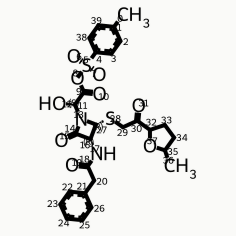 Cc1ccc(S(=O)(=O)OC(=O)[C@H](O)N2C(=O)[C@@H](NC(=O)Cc3ccccc3)[C@H]2SCC(=O)C2CCC(C)O2)cc1